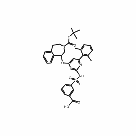 Cc1cccc(C)c1-c1cc(OC2CN(C(=O)OC(C)(C)C)CCc3ccccc32)nc(NS(=O)(=O)c2cccc(C(=O)O)c2)n1